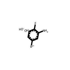 [B+2]c1ccc(F)c(N)c1.[OH-].[OH-]